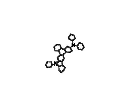 c1ccc(N(c2ccccc2)c2ccc3c(c2)c2ccccc2c2cc4c(cc32)c2ccccc2n4-c2ccccc2)cc1